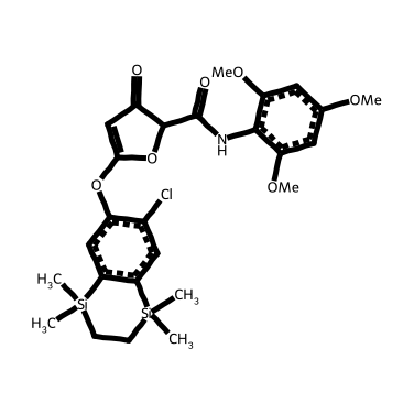 COc1cc(OC)c(NC(=O)C2OC(Oc3cc4c(cc3Cl)[Si](C)(C)CC[Si]4(C)C)=CC2=O)c(OC)c1